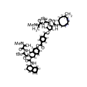 C=C1/C=C\C=C/C[C@H](NC(=O)[C@@H]2C[C@H](OCc3ccc(C(=O)Oc4ccc5c(c4)CN(C(=O)[C@@H](NC(=O)[C@H](C)NC)C(C)(C)C)[C@H](C(=O)N[C@@H]4CCCc6ccccc64)C5)cc3)CN2C(=O)[C@@H](NC(=O)[C@H](C)NC)C(C)(C)C)CCC1